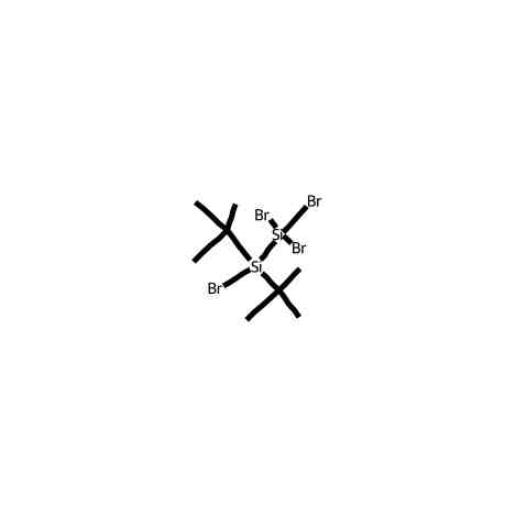 CC(C)(C)[Si](Br)(C(C)(C)C)[Si](Br)(Br)Br